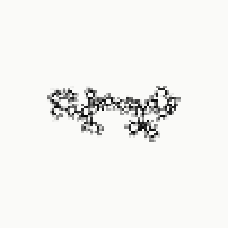 C1=CC2N=C3Oc4c(-c5ccc6c(c5)-c5cccnc5-c5ncccc5-c5ccccc5-6)cc(-n5c6ccccc6n6c7ccc(C8=CC9N=C%10Sc%11c(-c%12ccc%13c(c%12)-c%12cccnc%12-c%12ncccc%12-c%12ccccc%12-%13)cc(-n%12c%13ccccc%13n%13c%14ccccc%14nc%12%13)cc%11N%10C9C=C8)cc7nc56)cc4N3C2C=C1